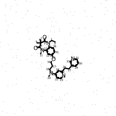 CCN1C(=O)C(C)(C)C(=O)N(C)c2cc(OCCCN(C)c3ccnc(CCc4cccnc4)c3)ccc21